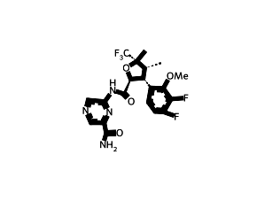 COc1c([C@@H]2[C@@H](C(=O)Nc3cncc(C(N)=O)n3)O[C@](C)(C(F)(F)F)[C@@H]2C)ccc(F)c1F